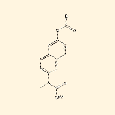 CCC(=O)Oc1ccc2cc(C(C)C(=O)OC)ccc2c1